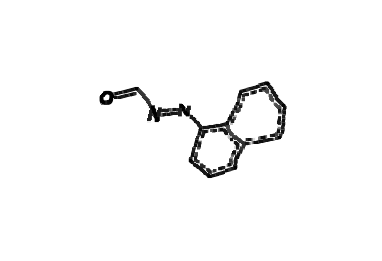 O=CN=Nc1cccc2ccccc12